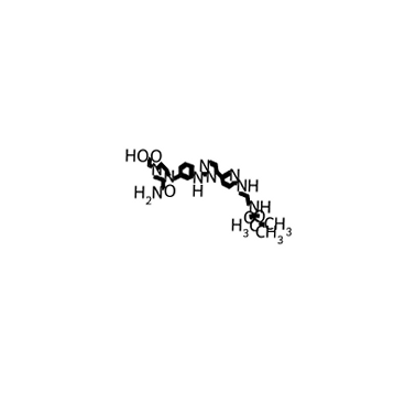 CC(C)(C)OC(=O)NCCCNc1ccc(-c2ccnc(Nc3cccc(CN4CCN(CC(=O)O)CC4C(N)=O)c3)n2)cn1